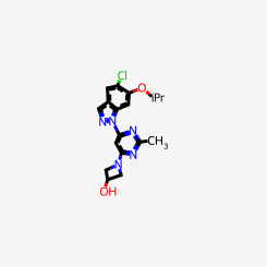 Cc1nc(N2CC(O)C2)cc(-n2ncc3cc(Cl)c(OC(C)C)cc32)n1